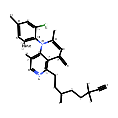 C#CC(C)(C)CCC(C)CCc1ncc(C)c2c1C(=C)C=C(C)N2c1c(Cl)cc(C)cc1NC